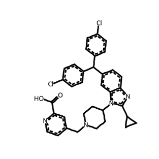 O=C(O)c1cc(CN2CCC(n3c(C4CC4)nc4ccc(C(c5ccc(Cl)cc5)c5ccc(Cl)cc5)cc43)CC2)ccn1